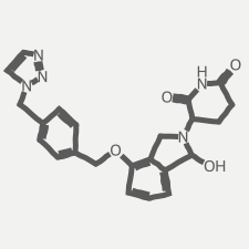 O=C1CCC(N2Cc3c(OCc4ccc(Cn5ccnn5)cc4)cccc3C2O)C(=O)N1